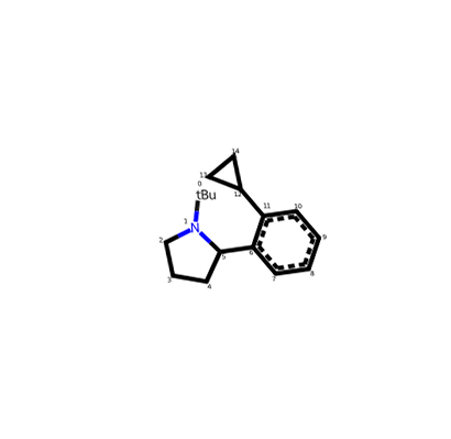 CC(C)(C)N1CCCC1c1ccccc1C1CC1